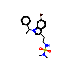 CC(c1ccccc1)n1cc(CCNS(=O)(=O)N(C)C)c2ccc(Br)cc21